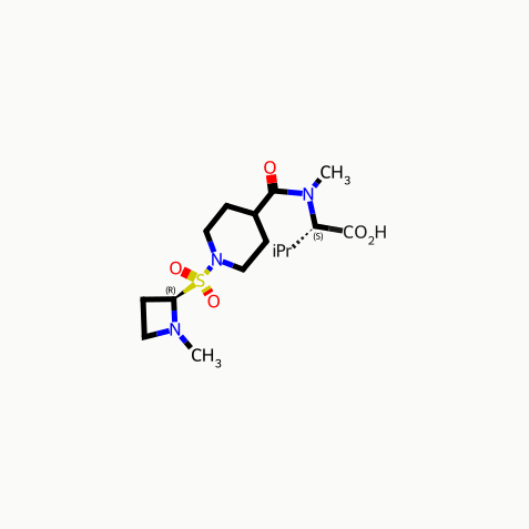 CC(C)[C@@H](C(=O)O)N(C)C(=O)C1CCN(S(=O)(=O)[C@@H]2CCN2C)CC1